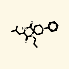 CCCN1C(=O)C(CC(C)C)NC(=O)C12CCN(c1ccccc1)CC2